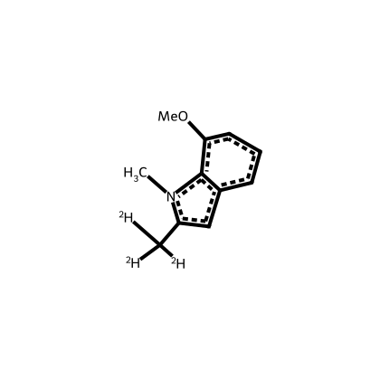 [2H]C([2H])([2H])c1cc2cccc(OC)c2n1C